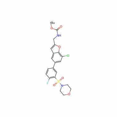 CC(C)(C)OC(=O)NCc1cc2cc(-c3ccc(F)c(S(=O)(=O)N4CCOCC4)c3)cc(Cl)c2o1